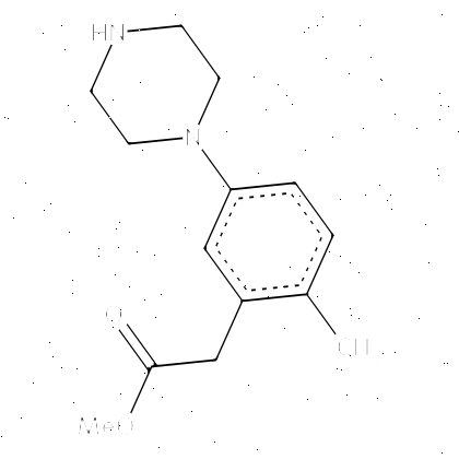 COC(=O)Cc1cc(N2CCNCC2)ccc1C